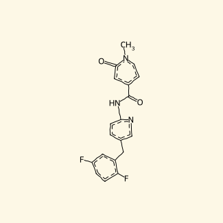 Cn1ccc(C(=O)Nc2ccc(Cc3cc(F)ccc3F)cn2)cc1=O